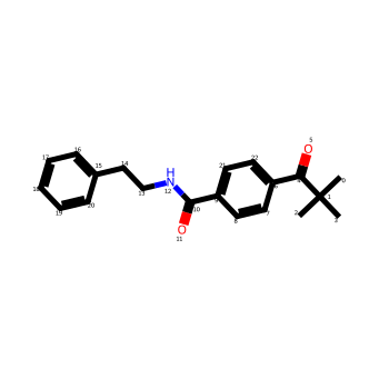 CC(C)(C)C(=O)c1ccc(C(=O)NCCc2ccccc2)cc1